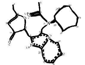 CC(=O)N(c1c(C2OC(C)=CC2=O)nc2ccccn12)C1CCCCC1